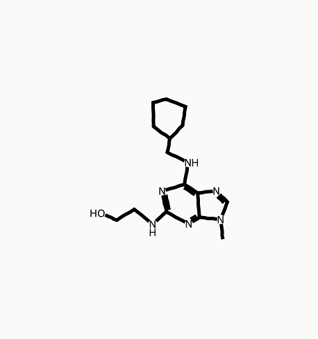 Cn1cnc2c(NCC3CCCCC3)nc(NCCO)nc21